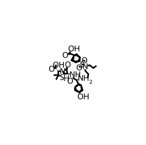 CC1(C)S[C@@H]2[C@H](NC(=O)[C@H](N)c3ccc(O)cc3)C(=O)N2[C@H]1C(=O)O.CCCN(CCC)S(=O)(=O)c1ccc(C(=O)O)cc1